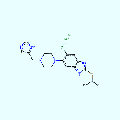 CCC(CC)Sc1nc2cc(Cl)c(N3CCN(Cc4cnc[nH]4)CC3)cc2[nH]1.Cl.Cl.Cl